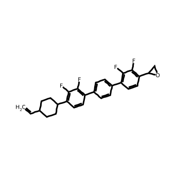 C=CC1CCC(c2ccc(-c3ccc(-c4ccc(C5CO5)c(F)c4F)cc3)c(F)c2F)CC1